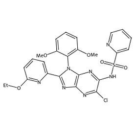 CCOc1cccc(-c2nc3nc(Cl)c(NS(=O)(=O)c4ccccn4)nc3n2-c2c(OC)cccc2OC)n1